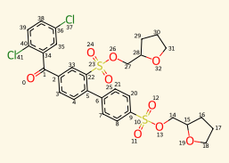 O=C(c1ccc(-c2ccc(S(=O)(=O)OCC3CCCO3)cc2)c(S(=O)(=O)OCC2CCCO2)c1)c1cc(Cl)ccc1Cl